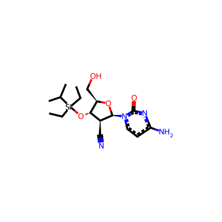 CC[Si](CC)(O[C@H]1[C@H](C#N)[C@H](n2ccc(N)nc2=O)O[C@@H]1CO)C(C)C